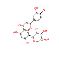 O=c1cc(-c2ccc(O)c(O)c2)oc2c([C@@H]3OC[C@H](O)[C@H](O)C3O)c(O)cc(O)c12